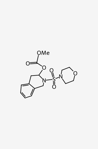 COC(=O)OC1Cc2ccccc2CN1S(=O)(=O)N1CCOCC1